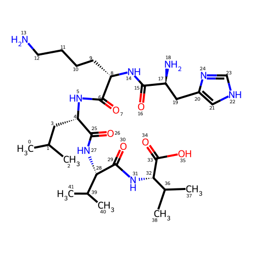 CC(C)C[C@H](NC(=O)[C@H](CCCCN)NC(=O)[C@@H](N)Cc1c[nH]cn1)C(=O)N[C@H](C(=O)N[C@H](C(=O)O)C(C)C)C(C)C